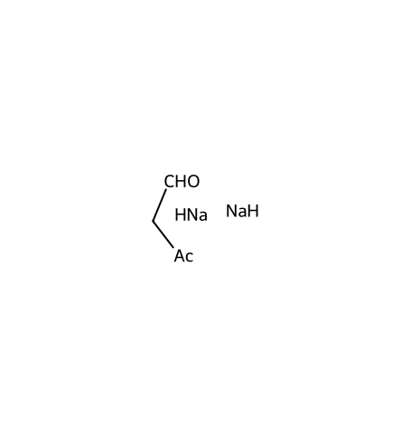 CC(=O)CC=O.[NaH].[NaH]